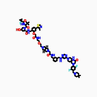 Cc1ncsc1-c1ccc(CNC(=O)[C@@H]2C[C@@H](O)CN2C(=O)[C@@H](NC(=O)C2(F)CC2)C(C)(C)C)c(OCC(=O)NCCOCCN2C[C@@H]3CN(CC(=O)NCc4cccc(CNc5cc(N6CCC7(CC6)CN(c6cc(F)c(CN8CCC(C)(C)CC8)cc6F)CC(=O)N7)ncn5)c4)C[C@@H]3C2)c1